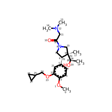 COc1ccc([C@@H]2CN(C(=O)CN(C)C)C[C@@]2(C)[C@@H](C)O)cc1OCC1CC1